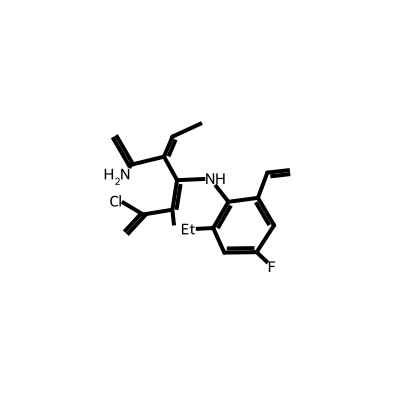 C=Cc1cc(F)cc(CC)c1NC(/C(=C\C)C(=C)N)=C(\C)C(=C)Cl